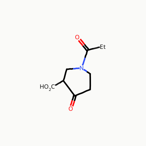 CCC(=O)N1CCC(=O)C(C(=O)O)C1